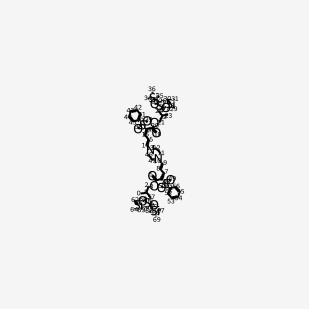 CC(COC(=O)/C(=C\C=C\N1CCN(/C=C/C=C(\C(=O)OCC(C)C[Si](C)(O[Si](C)(C)C)O[Si](C)(C)C)S(=O)(=O)c2ccccc2)CC1)S(=O)(=O)c1ccccc1)C[Si](C)(O[Si](C)(C)C)O[Si](C)(C)C